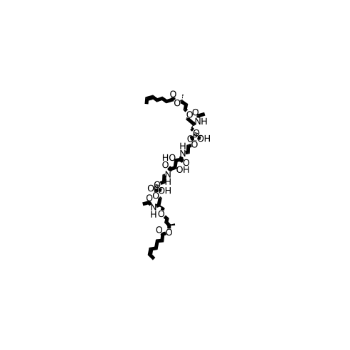 C/C=C\CCCC(=O)O[C@H](C)CCOC[C@H](COP(=O)(O)OCCNC(=O)[C@@H](O)[C@@H](O)C(=O)NCCOP(=O)(O)OC[C@H](COCC[C@@H](C)OC(=O)CCC/C=C\C)NC(C)=O)NC(C)=O